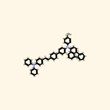 CC(C)(C)c1ccc(N(c2ccc(-c3ccc(/C=C/c4ccc(N(c5ccccc5)c5ccccc5)cc4)cc3)cc2)c2ccc3c4c(cccc24)-c2ccccc2-3)cc1